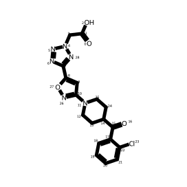 O=C(O)Cn1nnc(-c2cc(N3CCC(C(=O)c4ccccc4Cl)CC3)no2)n1